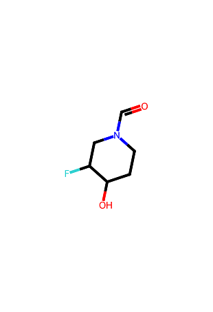 O=CN1CCC(O)C(F)C1